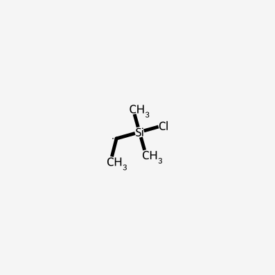 C[CH][Si](C)(C)Cl